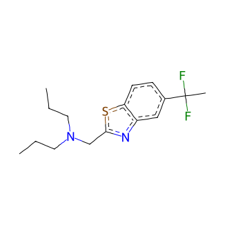 CCCN(CCC)Cc1nc2cc(C(C)(F)F)ccc2s1